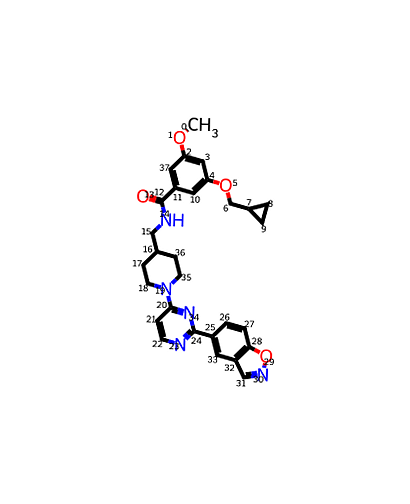 COc1cc(OCC2CC2)cc(C(=O)NCC2CCN(c3ccnc(-c4ccc5oncc5c4)n3)CC2)c1